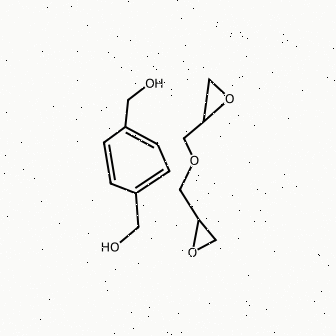 C(OCC1CO1)C1CO1.OCc1ccc(CO)cc1